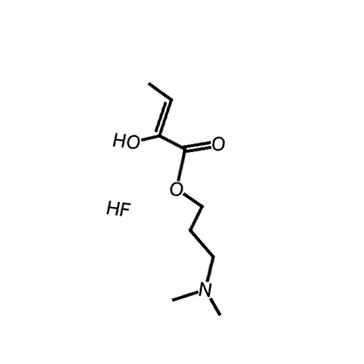 CC=C(O)C(=O)OCCCN(C)C.F